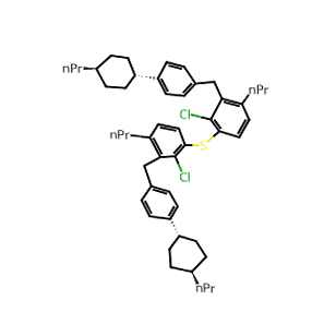 CCCc1ccc(Sc2ccc(CCC)c(Cc3ccc([C@H]4CC[C@H](CCC)CC4)cc3)c2Cl)c(Cl)c1Cc1ccc([C@H]2CC[C@H](CCC)CC2)cc1